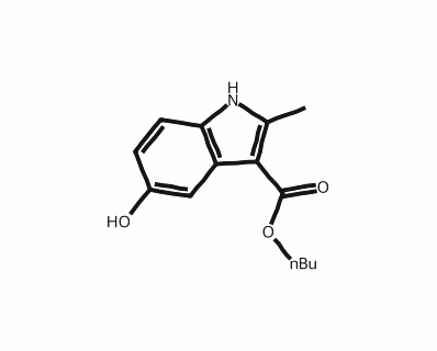 CCCCOC(=O)c1c(C)[nH]c2ccc(O)cc12